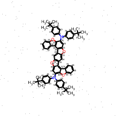 CC(C)(C)c1ccc(N(c2ccc(C(C)(C)C)cc2)c2cc3oc4cc5c(cc4c3c3c2oc2ccccc23)oc2cc(N(c3ccc(C(C)(C)C)cc3)c3ccc(C(C)(C)C)cc3)c3oc4ccccc4c3c25)cc1